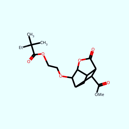 CCC(C)(C)C(=O)OCCOC1C2CC3C1OC(=O)C3C2C(=O)OC